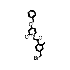 Cc1cc(CBr)ccc1C(=O)Cn1ccc(OCc2ccccc2)cc1=O